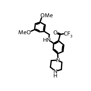 COc1cc(CNc2cc(N3CCNCC3)ccc2C(=O)C(F)(F)F)cc(OC)c1